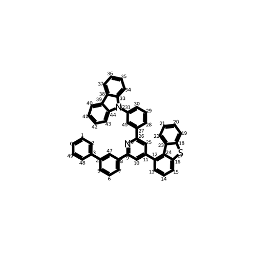 c1ccc(-c2cccc(-c3cc(-c4cccc5sc6ccccc6c45)cc(-c4cccc(-n5c6ccccc6c6ccccc65)c4)n3)c2)cc1